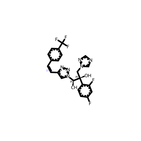 C[C@@H](n1cc(/C=C\c2ccc(C(F)(F)F)cc2)nn1)[C@](O)(Cn1cncn1)c1ccc(F)cc1F